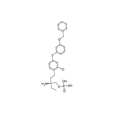 CC[C@](N)(CCc1ccc(Sc2cccc(OCc3ccccc3)c2)cc1Cl)COP(=O)(O)O